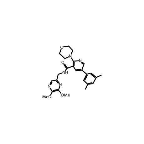 COc1ncc(CNC(=O)c2cc(-c3cc(C)cc(C)c3)cnc2N2CCOCC2)nc1OC